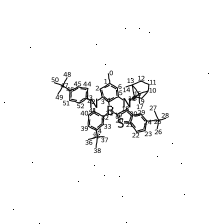 Cc1cc2c3c(c1)N(C1CC4CCC1(C)C4(C)C)c1c(sc4ccc(C(C)(C)C)cc14)B3c1cc(C(C)(C)C)ccc1N2c1ccc(C(C)(C)C)cc1